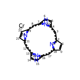 C1=Cc2cc3ccc(cc4nc(cc5ccc(cc1n2)[nH]5)C=C4)[nH]3.[Cr]